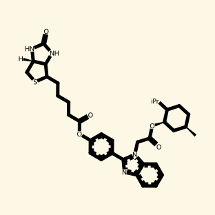 CC(C)C1CC[C@@H](C)C[C@H]1OC(=O)Cn1c(-c2ccc(OC(=O)CCCCC3SC[C@@H]4NC(=O)NC34)cc2)nc2ccccc21